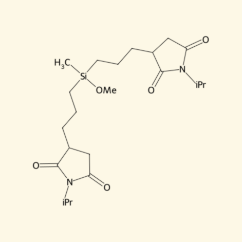 CO[Si](C)(CCCC1CC(=O)N(C(C)C)C1=O)CCCC1CC(=O)N(C(C)C)C1=O